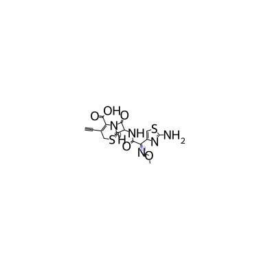 C#CC1=C(C(=O)O)N2C(=O)C(NC(=O)/C(=N/OC)c3csc(N)n3)[C@H]2SC1